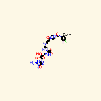 COc1cc(Cl)c(I)cc1NCC(=O)N1CCN(C(=O)C=CCN(C)CCNc2c(NC[C@H]3O[C@@H](n4cnc5c(=O)[nH]c(N)nc54)[C@H](O)[C@@H]3O)c(=O)c2=O)CC1